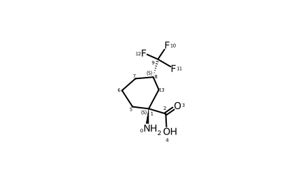 N[C@@]1(C(=O)O)CCC[C@H](C(F)(F)F)C1